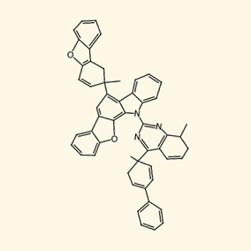 CC1CC=Cc2c1nc(-n1c3ccccc3c3c(C4(C)C=Cc5oc6ccccc6c5C4)cc4c5ccccc5oc4c31)nc2C1(C)C=CC(c2ccccc2)=CC1